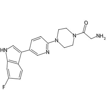 NCC(=O)N1CCN(c2ccc(-c3c[nH]c4cc(F)ccc34)cn2)CC1